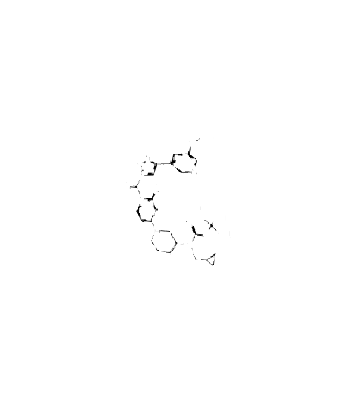 COc1cncc(-c2cn(C(C)n3ccc(N4CCC[C@@H](N(CC5CC5)C(=O)OC(C)(C)C)C4)cc3=O)nn2)c1